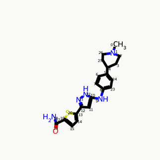 CN1CCC(c2ccc(Nc3cc(-c4ccc(C(N)=O)s4)n[nH]3)cc2)CC1